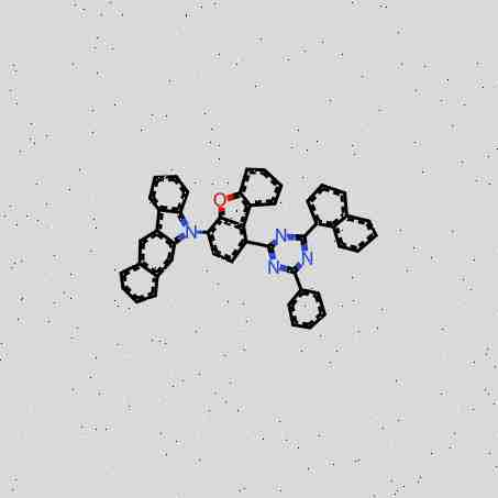 c1ccc(-c2nc(-c3cccc4ccccc34)nc(-c3ccc(-n4c5ccccc5c5cc6ccccc6cc54)c4oc5ccccc5c34)n2)cc1